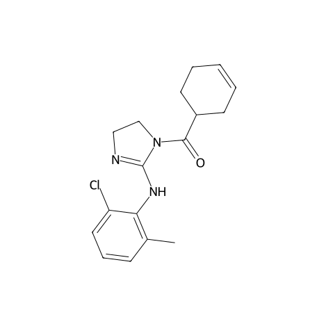 Cc1cccc(Cl)c1NC1=NCCN1C(=O)C1CC=CCC1